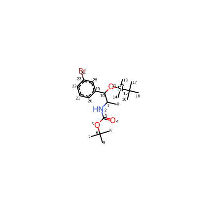 CC(NC(=O)OC(C)(C)C)C(O[Si](C)(C)C(C)(C)C)c1cccc(Br)c1